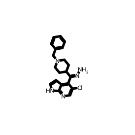 N/N=C(/c1c(Cl)cnc2[nH]ccc12)C1CCN(Cc2ccccc2)CC1